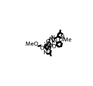 COCCO[C@H](c1ncc(C)cn1)[C@H](C)S(=O)(=O)/N=c1\n(C)nc(-c2cncc(C)c2)n1-c1c(OC)cccc1OC